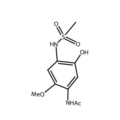 COc1cc(NS(C)(=O)=O)c(O)cc1NC(C)=O